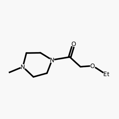 [CH2]COCC(=O)N1CCN(C)CC1